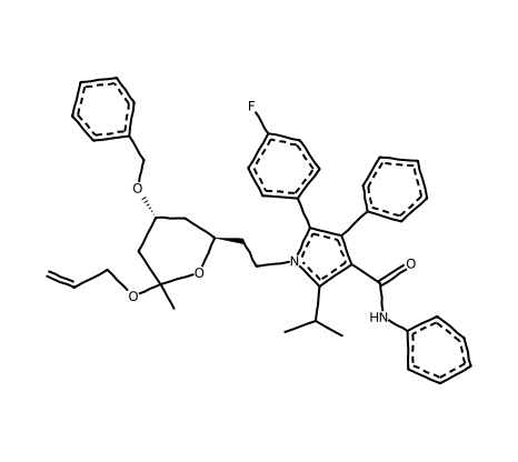 C=CCOC1(C)C[C@H](OCc2ccccc2)C[C@@H](CCn2c(-c3ccc(F)cc3)c(-c3ccccc3)c(C(=O)Nc3ccccc3)c2C(C)C)O1